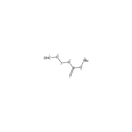 CC(C)(C)OC(=O)OCOC=O